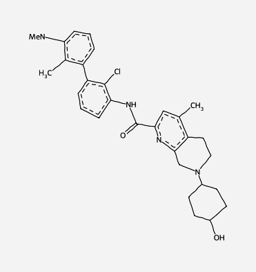 CNc1cccc(-c2cccc(NC(=O)c3cc(C)c4c(n3)CN(C3CCC(O)CC3)CC4)c2Cl)c1C